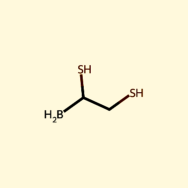 BC(S)CS